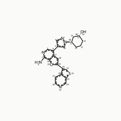 Nc1ncc(-c2cnn([C@@H]3CCC[C@@H](O)C3)c2)c2cc(-c3csc4cnccc34)oc12